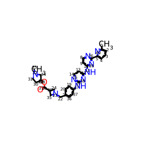 Cc1cccc(-c2nccc(Nc3ccnc(Nc4ccc(CN5CC(C(=O)O[C@@H]6CCN(C)C6)C5)cc4)n3)n2)n1